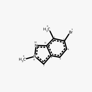 Cc1c(Br)ccc2cn(C)nc12